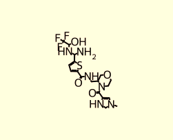 CN1C=C(C(=O)N2CCOCC2CNC(=O)c2ccc(C(N)NC(O)C(F)(F)F)s2)NC1